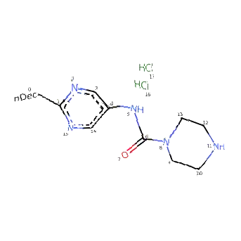 CCCCCCCCCCc1ncc(NC(=O)N2CCNCC2)cn1.Cl.Cl